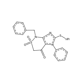 CCCSc1nc2c(n1-c1ccccc1)C(=O)CS(=O)(=O)N2Cc1ccccc1